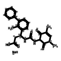 CC1=CN(C)C(=O)C(NC(=O)N[C@@H](CC(=O)O)c2cccc(-c3ccccc3)c2C)C1=O.[NaH]